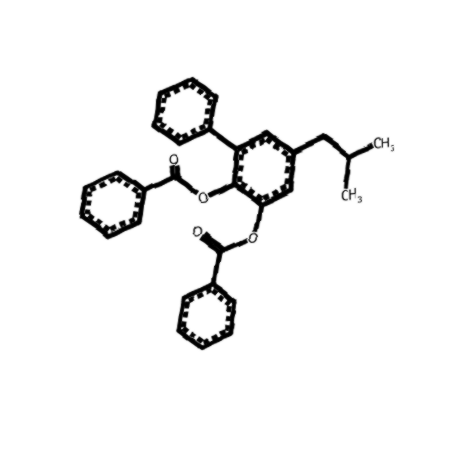 CC(C)Cc1cc(OC(=O)c2ccccc2)c(OC(=O)c2ccccc2)c(-c2ccccc2)c1